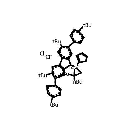 CCCC[C]1(CCCC)[CH2][Zr+2]1([C]1=CC=CC1)[CH]1c2cc(-c3ccc(C(C)(C)C)cc3)c(C(C)(C)C)cc2-c2cc(C(C)(C)C)c(-c3ccc(C(C)(C)C)cc3)cc21.[Cl-].[Cl-]